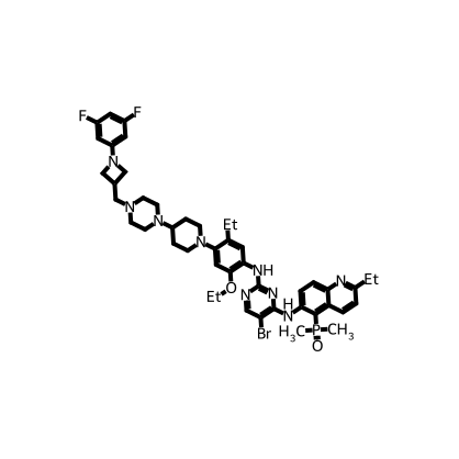 CCOc1cc(N2CCC(N3CCN(CC4CN(c5cc(F)cc(F)c5)C4)CC3)CC2)c(CC)cc1Nc1ncc(Br)c(Nc2ccc3nc(CC)ccc3c2P(C)(C)=O)n1